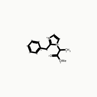 COC(=O)C(C)n1ccnc1Cc1ccccc1